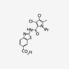 Cc1c(Cl)c(Cl)c(C(=O)Nc2nc3ccc(C(=O)O)cc3s2)n1C(C)C